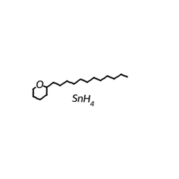 CCCCCCCCCCCCC1CCCCO1.[SnH4]